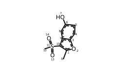 Cc1oc2ccc(O)cc2c1S(C)(=O)=O